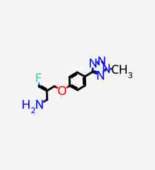 Cn1nnc(-c2ccc(OC/C(=C\F)CN)cc2)n1